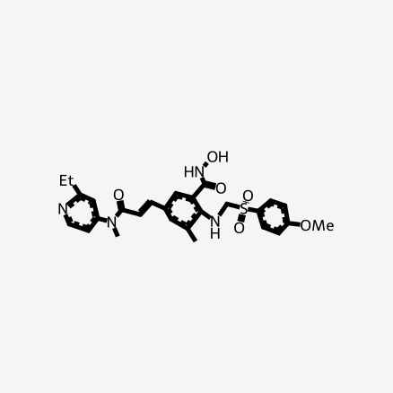 CCc1cc(N(C)C(=O)C=Cc2cc(C)c(NCS(=O)(=O)c3ccc(OC)cc3)c(C(=O)NO)c2)ccn1